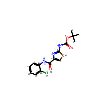 CC(C)(C)OC(=O)Nc1nc(C(=O)Nc2ccccc2Cl)cs1